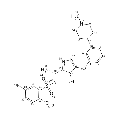 CCn1c(Oc2cccc(N3CCN(C)CC3)c2)nnc1[C@@H](C)NS(=O)(=O)c1cc(F)ccc1C